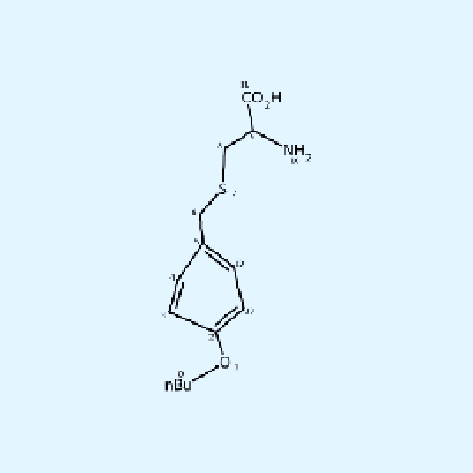 CCCCOc1ccc(CSCC(N)C(=O)O)cc1